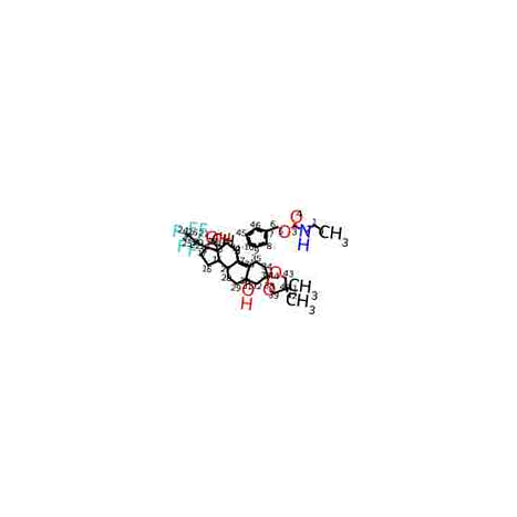 CCNC(=O)OCc1ccc([C@H]2C[C@@]3(C)C(CC[C@@]3(O)C(F)(F)C(F)(F)F)C3CCC4(O)CC5(CCC4=C32)OCC(C)(C)CO5)cc1